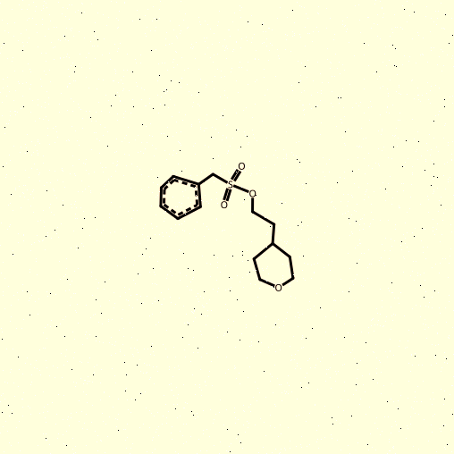 O=S(=O)(Cc1ccccc1)OCCC1CCOCC1